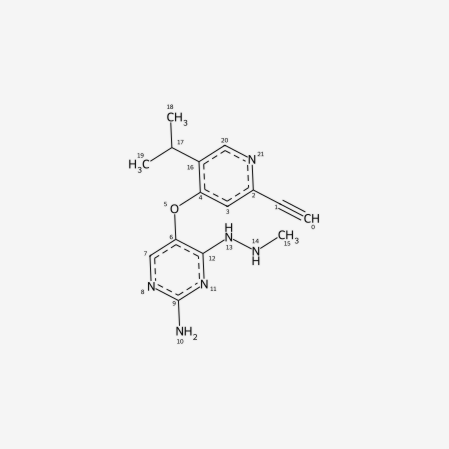 C#Cc1cc(Oc2cnc(N)nc2NNC)c(C(C)C)cn1